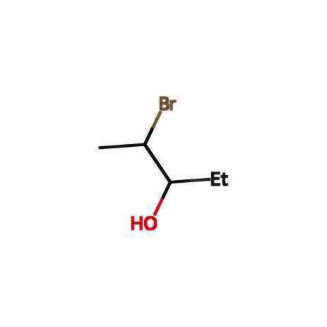 [CH2]CC(O)C(C)Br